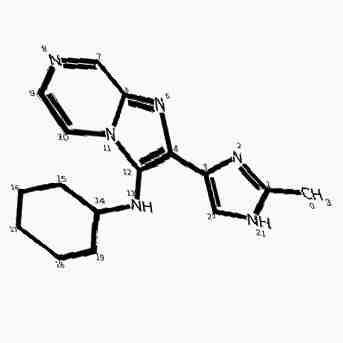 Cc1nc(-c2nc3cnccn3c2NC2CCCCC2)c[nH]1